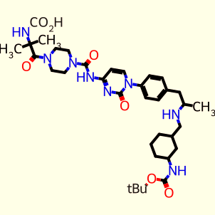 CC(Cc1ccc(-n2ccc(NC(=O)N3CCN(C(=O)C(C)(C)NC(=O)O)CC3)nc2=O)cc1)NCC1CCCC(NC(=O)OC(C)(C)C)C1